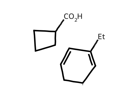 CCC1=C[CH]CC=C1.O=C(O)C1CCC1